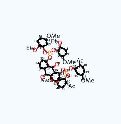 CCOc1ccc(OC)cc1OP(Oc1cc(OC)ccc1OCC)Oc1cccc2c1C(=O)c1c(OP(Oc3cc(OC)ccc3C(C)=O)Oc3cc(OC)ccc3C(C)=O)cccc1C2=O